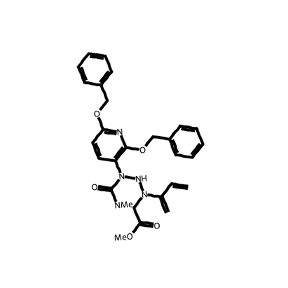 C=CC(=C)N(CC(=O)OC)NN(C(=O)NC)c1ccc(OCc2ccccc2)nc1OCc1ccccc1